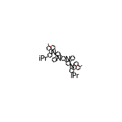 Cc1ccc(-c2cc(C(C)C)ccc2N(c2ccccc2)c2ccc3c4cc5c(cc4n4c6ccccc6c2c34)c2ccc(N(c3ccccc3)c3ccc(C(C)C)cc3-c3ccc(C)cc3)c3c4ccccc4n5c23)cc1